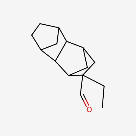 CCC1(C=O)CC2CC1C1C3CCC(C3)C21